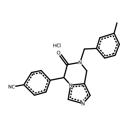 Cc1cccc(CN2Cc3cncn3C(c3ccc(C#N)cc3)C2=O)c1.Cl